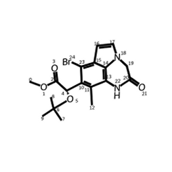 COC(=O)[C@@H](OC(C)(C)C)c1c(C)c2c3c(ccn3CC(=O)N2)c1Br